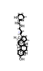 C[C@]12CC[C@H](O)C[C@H]1CC[C@@H]1[C@@H]2CC[C@]2(C)[C@@H](/C=C/CNNC3=NCCCN3)CC[C@]12O